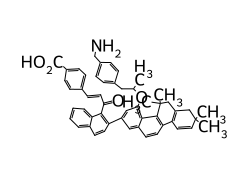 CC(Cc1ccc(CN)cc1)Oc1cc(-c2ccc3ccccc3c2C(=O)C=Cc2ccc(C(=O)O)cc2)cc2ccc3c(c12)C(C)(C)CC1=C3C=CC(C)(C)C1